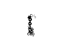 CCC(C(=O)O)N1Cc2sc(-c3ccc(-c4ccc5c(ccn5C)c4)cc3)cc2S1(=O)=O